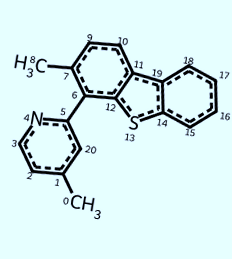 Cc1ccnc(-c2c(C)ccc3c2sc2ccccc23)c1